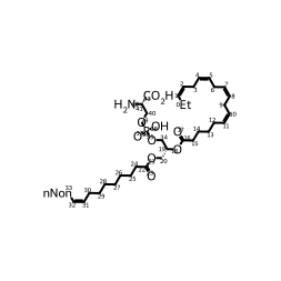 CC/C=C\C/C=C\C/C=C\C/C=C\CCCCC(=O)O[C@H](COC(=O)CCCCCCC/C=C\CCCCCCCCC)COP(=O)(O)OC[C@H](N)C(=O)O